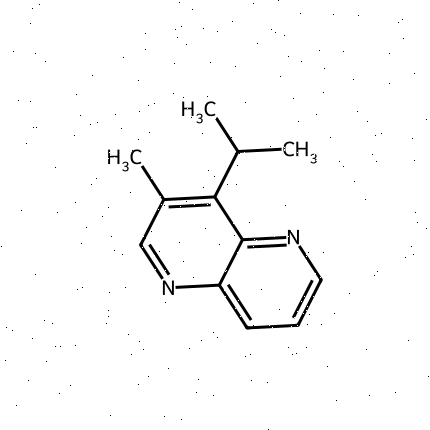 Cc1cnc2cccnc2c1C(C)C